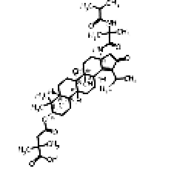 CC(C)C(=O)NC(C)(C)C(=O)N[C@@]12CC[C@]3(C)[C@H](CC[C@@H]4[C@@]5(C)CC[C@H](OC(=O)CC(C)(C)C(=O)O)C(C)(C)[C@@H]5CC[C@]43C)C1=C(C(C)C)C(=O)C2